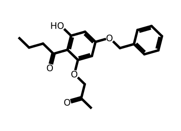 CCCC(=O)c1c(O)cc(OCc2ccccc2)cc1OCC(C)=O